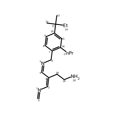 C=N/C=C(\C=N/Cc1ccc(C(C)(C)CC)cc1CCC)CCN